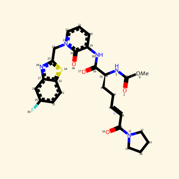 COC(=O)N[C@@H](CC/C=C/C(=O)N1CCCC1)C(=O)Nc1cccn(Cc2nc3cc(F)ccc3s2)c1=O